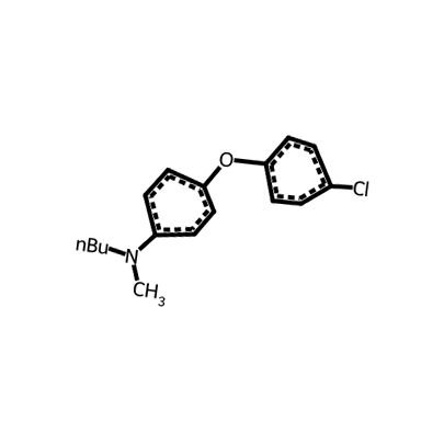 CCCCN(C)c1ccc(Oc2ccc(Cl)cc2)cc1